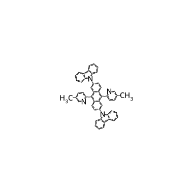 Cc1ccc(-c2c3ccc(-n4c5ccccc5c5ccccc54)cc3c(-c3ccc(C)cn3)c3ccc(-n4c5ccccc5c5ccccc54)cc23)nc1